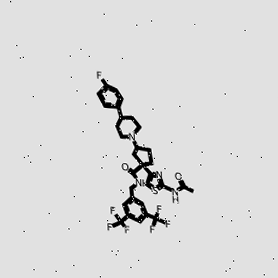 CC(=O)Nc1nc(C2(C(=O)NCc3cc(C(F)(F)F)cc(C(F)(F)F)c3)CCC(N3CCC(c4ccc(F)cc4)CC3)C2)cs1